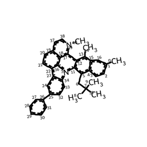 Cc1ccc2c(CC(C)(C)C)c3c(c(C)c2c1)c1c2c(ccc4c5cc(-c6ccccc6)ccc5n3c42)cc[n+]1C